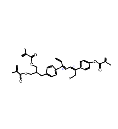 C=C/C(=C\C=C(/CF)c1ccc(OC(=O)C(=C)C)cc1)c1ccc(CC(COC(=O)C(=C)C)COC(=O)C(=C)C)cc1